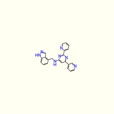 c1ccc(-c2nc(NCc3cccc4[nH]ncc34)cc(-c3cccnc3)n2)nc1